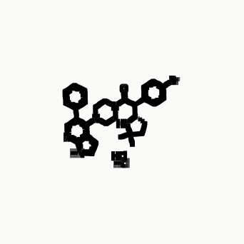 CC1(C)CC[C@@H]([C@@H](C(=O)N2CCN(c3c(-c4ccccc4)cnc4[nH]ccc34)CC2)c2ccc(Br)cc2)N1.Cl.Cl